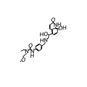 CCN(CCOC)C(=O)Nc1ccc(CNCC(O)c2ccc(O)c3[nH]c(=O)ccc23)cc1